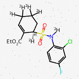 [2H]N(c1ccc(F)cc1Cl)S(=O)(=O)[C@]1([2H])CC([2H])([2H])C([2H])([2H])C=C1C(=O)OCC